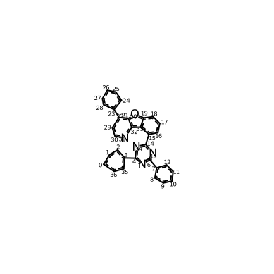 c1ccc(-c2nc(-c3ccccc3)nc(-c3cccc4oc5c(-c6ccccc6)ccnc5c34)n2)cc1